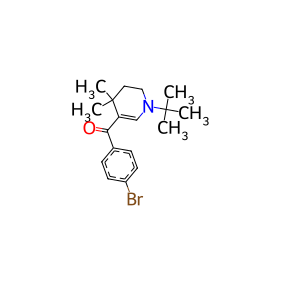 CC1(C)CCN(C(C)(C)C)C=C1C(=O)c1ccc(Br)cc1